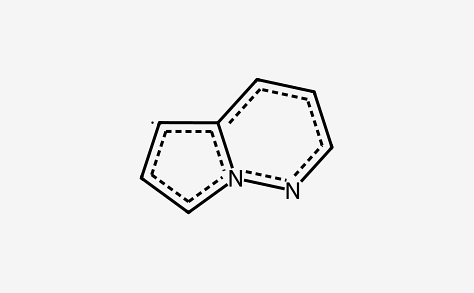 [c]1ccn2ncccc12